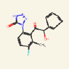 Cc1c(F)ccc(-n2nn[nH]c2=O)c1C(=O)C(O)c1ccccc1